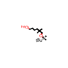 CC(C)(CCCCO)CO[Si](C)(C)C(C)(C)C